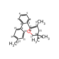 CC1=C(c2ccccc2-c2ccc(C)cc2)OCC(C)(C)C1